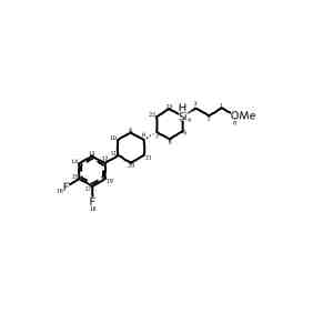 COCCC[Si@H]1CC[C@H](C2CCC(c3ccc(F)c(F)c3)CC2)CC1